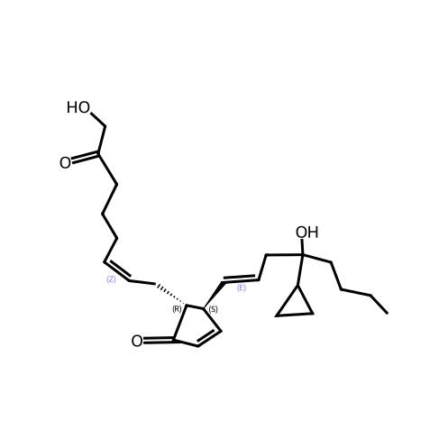 CCCCC(O)(C/C=C/[C@H]1C=CC(=O)[C@@H]1C/C=C\CCCC(=O)CO)C1CC1